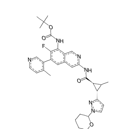 Cc1ccncc1-c1cc2cc(NC(=O)[C@H]3C(C)[C@@H]3c3ccn(C4CCCCO4)n3)ncc2c(NC(=O)OC(C)(C)C)c1F